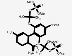 C=C(C)C1CCC(C)=CC1c1c(OC(C)(C)OP(=O)(OC)OC)cc(CCCCC)cc1OC(C)(C)OP(=O)(OC)OC